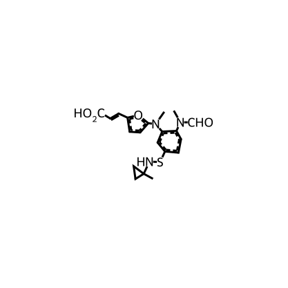 CN(C=O)c1ccc(SNC2(C)CC2)cc1N(C)c1ccc(/C=C/C(=O)O)o1